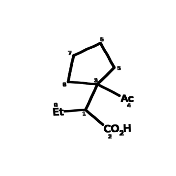 CCC(C(=O)O)C1(C(C)=O)CCCC1